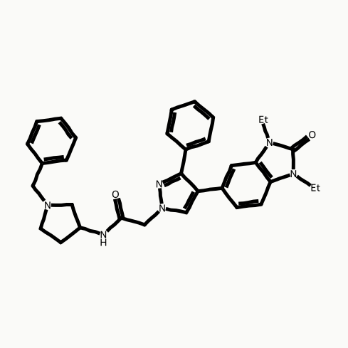 CCn1c(=O)n(CC)c2cc(-c3cn(CC(=O)NC4CCN(Cc5ccccc5)C4)nc3-c3ccccc3)ccc21